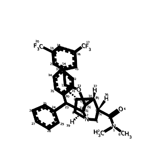 CN(C)C(=O)[C@@H]1CN2CC[C@H]1[C@H](OCc1cc(C(F)(F)F)cc(C(F)(F)F)c1)[C@@H]2C(c1ccccc1)c1ccccc1